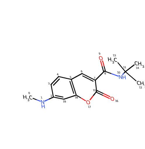 CNc1ccc2cc(C(=O)NC(C)(C)C)c(=O)oc2c1